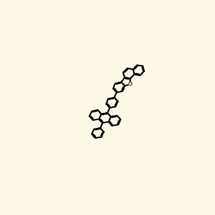 c1ccc(-c2c3ccccc3c(-c3ccc(-c4ccc5c(c4)oc4c6ccccc6ccc54)cc3)c3ccccc23)cc1